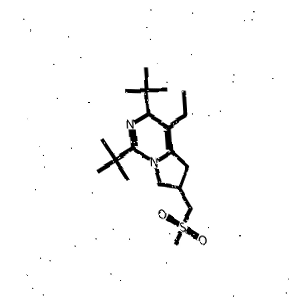 CCC1=C2CC(CS(C)(=O)=O)CN2C(C(C)(C)C)=NC1C(C)(C)C